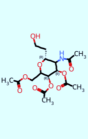 CC(=O)NC1[C@@H](OC(C)=O)[C@@H](OC(C)=O)C(COC(C)=O)O[C@@H]1CCO